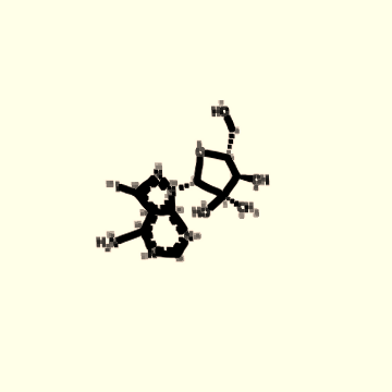 C[C@@]1(O)[C@H](O)[C@@H](CO)O[C@H]1n1nc(I)c2c(N)ncnc21